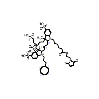 CC1(CCCCS(=O)(=O)O)C(/C=C/C=C2/N(CCCCCC(=O)NCCN3C(=O)C=CC3=O)c3ccc(S(=O)(=O)O)cc3C2(C)CCCCS(=O)(=O)O)=[N+](CCCC2=C/C=C\C=C/C=C\2)c2ccc(S(=O)(=O)O)cc21